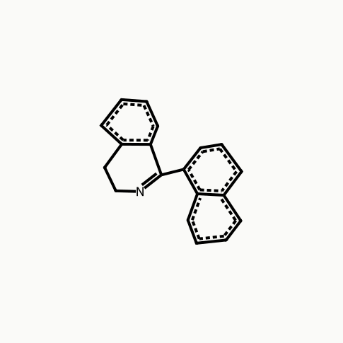 c1ccc2c(c1)CCN=C2c1cccc2ccccc12